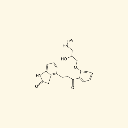 CCCNCC(O)COc1ccccc1C(=O)CCc1cccc2c1CC(=O)N2